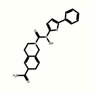 NC(=O)C1C=C2CCN(C(=O)N(O)c3ccc(-c4ccccc4)s3)CC2=CC1